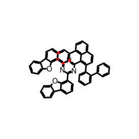 c1ccc(-c2ccccc2-c2ccc3cccc(-c4ccccc4)c3c2-c2nc(-c3cccc4c3oc3ccccc34)nc(-c3cccc4c3oc3ccccc34)n2)cc1